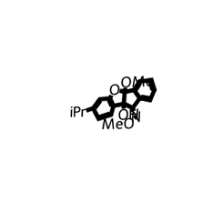 CON=C1c2ccccc2C2(OC)Oc3cc(C(C)C)ccc3C12O